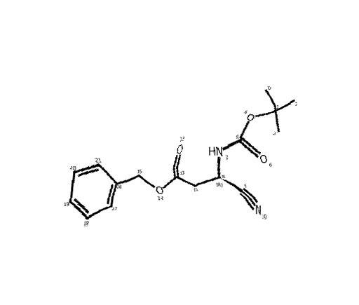 CC(C)(C)OC(=O)N[C@@H](C#N)CC(=O)OCc1ccccc1